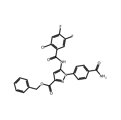 NC(=O)c1ccc(-n2nc(C(=O)OCc3ccccc3)cc2NC(=O)c2cc(F)c(F)cc2Cl)cc1